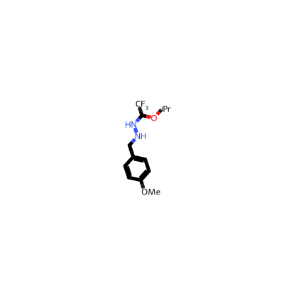 COc1ccc(CNNC(OC(C)C)C(F)(F)F)cc1